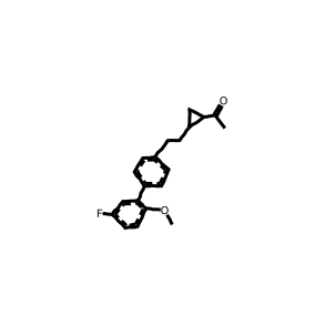 COc1ccc(F)cc1-c1ccc(CCC2CC2C(C)=O)cc1